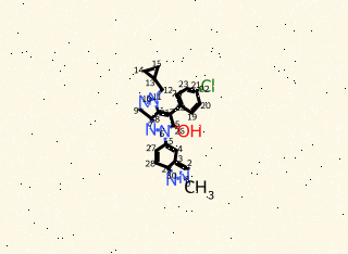 Cn1cc2cc(N3N=c4cnn(CC5CC5)c4=C(c4ccc(Cl)cc4)C3O)ccc2n1